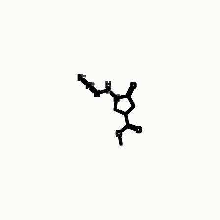 COC(=O)C1CC(=O)N(PN=[N+]=[N-])C1